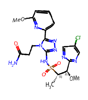 COc1cccc(-c2nnc(NS(=O)(=O)[C@@H](C)[C@H](OC)c3ncc(Cl)cn3)n2CCC(N)=O)n1